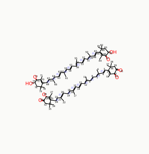 CC1=C(/C=C/C(C)=C/C=C/C(C)=C/C=C/C=C(C)/C=C/C=C(C)/C=C/C2=C(C)C(=O)C(=O)CC2(C)C)C(C)(C)CC(=O)C1=O.CC1=C(/C=C/C(C)=C/C=C/C(C)=C/C=C/C=C(C)/C=C/C=C(C)/C=C/C2=C(C)C(=O)C(O)CC2(C)C)C(C)(C)CC(O)C1=O